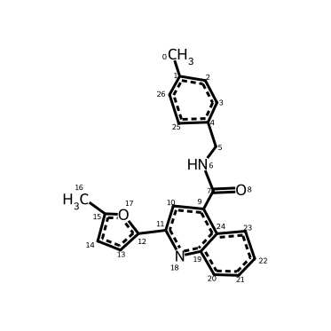 Cc1ccc(CNC(=O)c2cc(-c3ccc(C)o3)nc3ccccc23)cc1